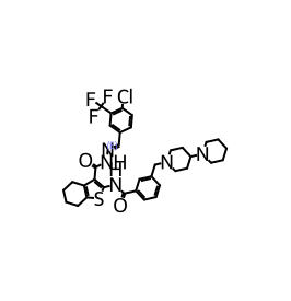 O=C(Nc1sc2c(c1C(=O)N/N=C/c1ccc(Cl)c(C(F)(F)F)c1)CCCC2)c1cccc(CN2CCC(N3CCCCC3)CC2)c1